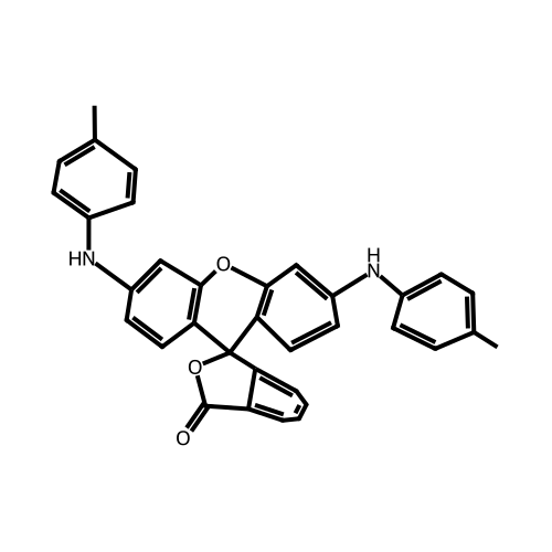 Cc1ccc(Nc2ccc3c(c2)Oc2cc(Nc4ccc(C)cc4)ccc2C32OC(=O)c3ccccc32)cc1